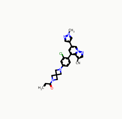 C=CC(=O)N1CC2(C1)CN(c1ccc(-c3cc(-c4cnn(C)c4)cn4ncc(C#N)c34)c(Cl)c1)C2